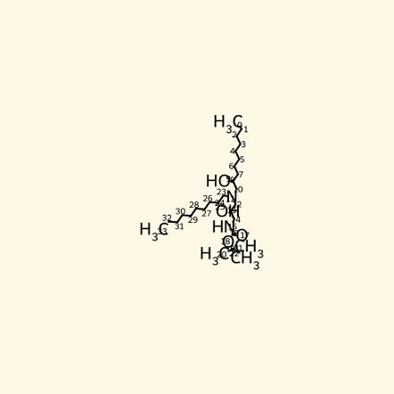 CCCCCCCCC(O)CN(CCCNC(=O)OC(C)(C)C)CC(O)CCCCCCCC